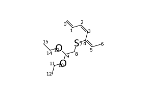 C=C/C=C\C(=C/C)SCC(OCC)OCC